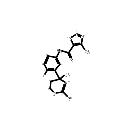 Cc1nnsc1C(=O)Nc1ccc(F)c(C2(C)CCSC(N)=N2)c1